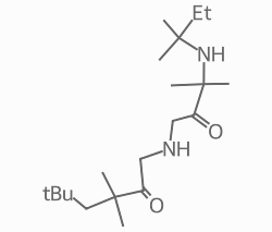 CCC(C)(C)NC(C)(C)C(=O)CNCC(=O)C(C)(C)CC(C)(C)C